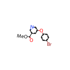 COC(=O)c1cncc(Oc2ccc(Br)cc2)c1